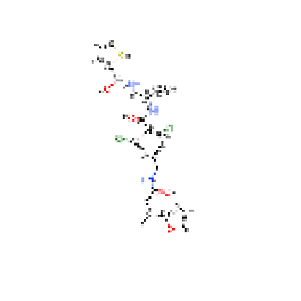 CC(CC(=O)NCc1cc(Cl)c(C(=O)N[C@@H](CNC(=O)c2cccs2)C(=O)O)c(Cl)c1)c1ccco1